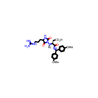 COc1ccc(C(NC(=O)[C@H](CC(=O)O)N(C(C)=O)N2C(=O)NC(CCCNC(=N)N)C2=O)c2ccc(OC)cc2)cc1